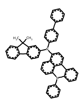 CC1(C)c2ccccc2-c2ccc(N(c3ccc(-c4ccccc4)cc3)c3ccc4c5c(cccc35)N(c3ccccc3)c3ccccc3-4)cc21